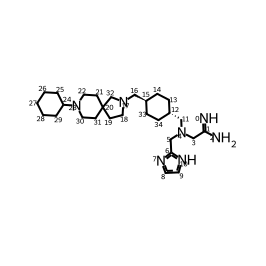 N=C(N)CN(Cc1ncc[nH]1)C[C@H]1CC[C@H](CN2CCC3(CCN(C4CCCCC4)CC3)C2)CC1